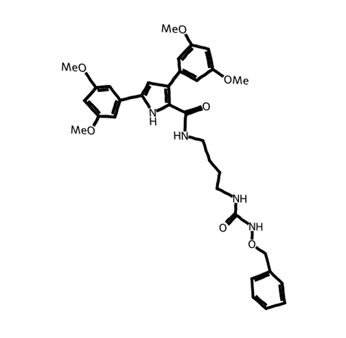 COc1cc(OC)cc(-c2cc(-c3cc(OC)cc(OC)c3)c(C(=O)NCCCCNC(=O)NOCc3ccccc3)[nH]2)c1